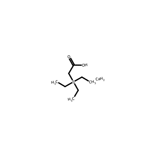 CCS(CC)(CC)CC(=O)O.[CaH2]